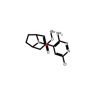 CC(C)(C)OC(=O)N1C2C=C(c3cc(Cl)nnc3N)CC1CC2